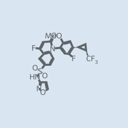 COc1cc([C@@H]2C[C@H]2C(F)(F)F)c(F)cc1-n1c(=O)cc(F)c2cc(S(=O)(=O)Nc3ccon3)ccc21